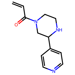 C=CC(=O)N1CCNC(c2ccncc2)C1